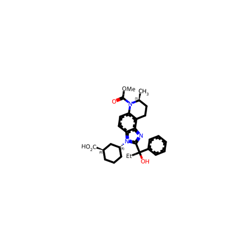 CCC(O)(c1ccccc1)c1nc2c3c(ccc2n1[C@@H]1CCC[C@@H](C(=O)O)C1)N(C(=O)OC)[C@@H](C)CC3